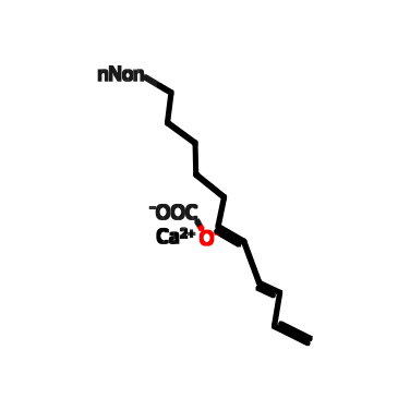 C=CC=CC=CCCCCCCCCCCCCCC.O=C([O-])[O-].[Ca+2]